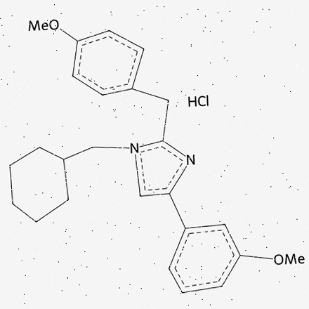 COc1ccc(Cc2nc(-c3cccc(OC)c3)cn2CC2CCCCC2)cc1.Cl